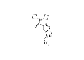 O=C(c1cc2c(cn1)cnn2CC(F)(F)F)N(C1CCC1)C1CCC1